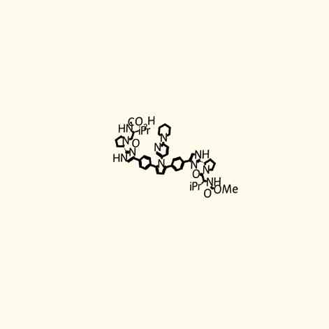 COC(=O)N[C@H](C(=O)N1CCC[C@H]1c1nc(-c2ccc(-c3ccc(-c4ccc(-c5c[nH]c([C@@H]6CCCN6C(=O)[C@@H](NC(=O)O)C(C)C)n5)cc4)n3-c3ccc(N4CCCCC4)nc3)cc2)c[nH]1)C(C)C